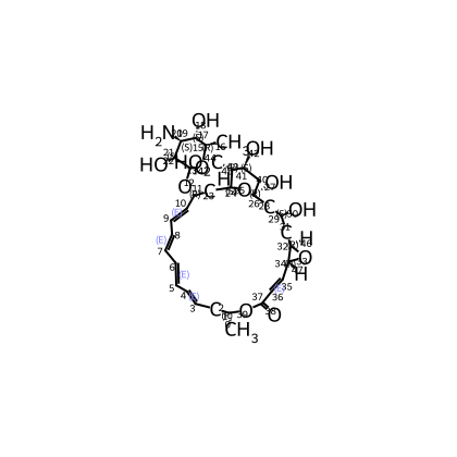 C[C@@H]1C/C=C/C=C/C=C/C=C/[C@H](OC2O[C@H](C)[C@@H](O)[C@H](N)[C@@H]2O)C[C@@H]2O[C@](O)(C[C@@H](O)C[C@H]3O[C@@H]3/C=C/C(=O)O1)C[C@H](O)[C@H]2C(=O)O